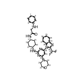 O=C(CNc1ccccc1)N[C@H]1CC[C@H](Nc2nc(N3CCOCC3)cc(-n3c(C(F)F)nc4ccccc43)n2)CC1